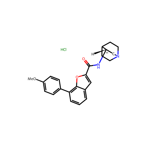 COc1ccc(-c2cccc3cc(C(=O)N[C@H]4CN5CCC4CC5)oc23)cc1.Cl